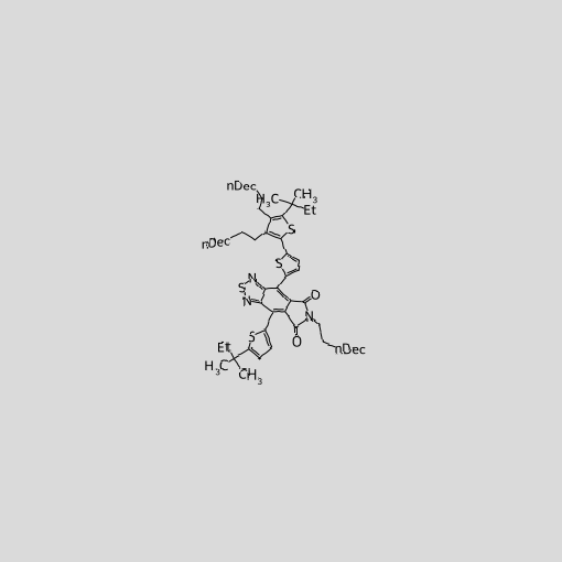 CCCCCCCCCCCCc1c(-c2ccc(-c3c4c(c(-c5ccc(C(C)(C)CC)s5)c5nsnc35)C(=O)N(CCCCCCCCCCCC)C4=O)s2)sc(C(C)(C)CC)c1CCCCCCCCCCCC